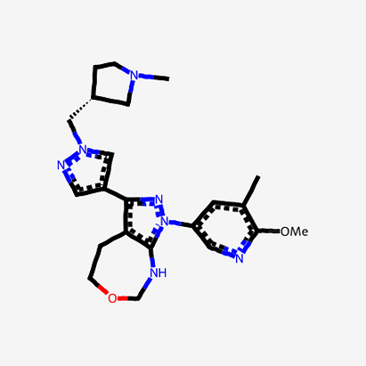 COc1ncc(-n2nc(-c3cnn(C[C@@H]4CCN(C)C4)c3)c3c2NCOCC3)cc1C